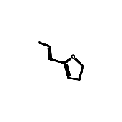 C/C=C/C1=CCCO1